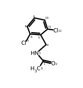 CC(=O)NCc1c(Cl)cccc1Cl